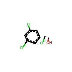 CCl.CO.Clc1cccc(Cl)c1